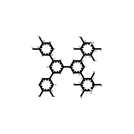 Cc1ccc(-c2cc(-c3cc(-c4c(C)c(C)nc(C)c4C)cc(-c4c(C)c(C)nc(C)c4C)c3)cc(-c3ccc(C)c(C)c3)c2)cc1C